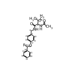 CC(=O)NC(C(=O)NCc1ccc(OC(F)c2ccccc2)cc1)C(C)C